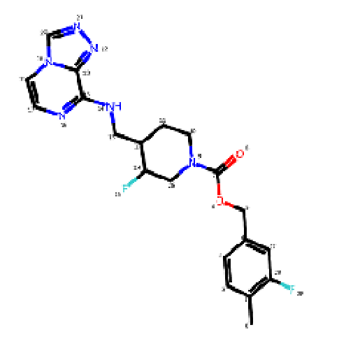 Cc1ccc(COC(=O)N2CCC(CNc3nccn4cnnc34)C(F)C2)cc1F